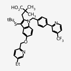 CCc1ccc(COc2ccc3c(c2)c(SC(C)(C)C)c(CC(C)(C)C(=O)O)n3Cc2ccc(-c3cc(C(F)(F)F)ccn3)cc2)nc1